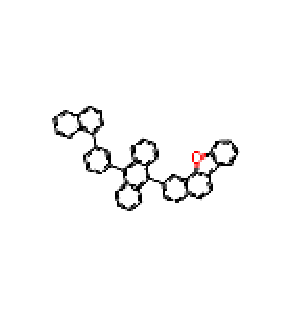 c1cc(-c2cccc3ccccc23)cc(-c2c3ccccc3c(-c3ccc4ccc5c6ccccc6oc5c4c3)c3ccccc23)c1